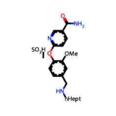 CCCCCCCNCc1ccc(Oc2ccc(C(N)=O)cn2)c(OC)c1.CS(=O)(=O)O